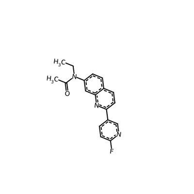 CCN(C(C)=O)c1ccc2ccc(-c3ccc(F)nc3)nc2c1